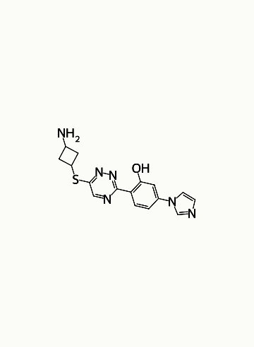 NC1CC(Sc2cnc(-c3ccc(-n4ccnc4)cc3O)nn2)C1